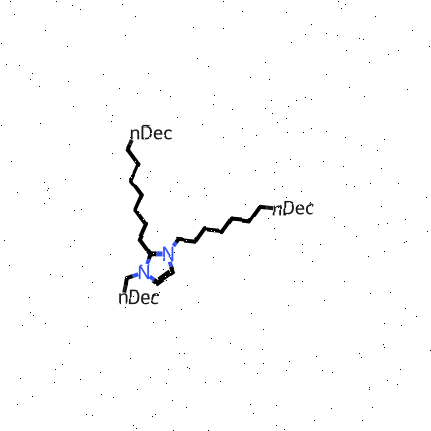 CCCCCCCCCCCCCCCCCC1N(CCCCCCCCCCC)C=CN1CCCCCCCCCCCCCCCCC